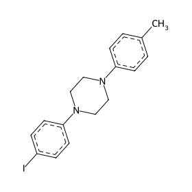 Cc1ccc(N2CCN(c3ccc(I)cc3)CC2)cc1